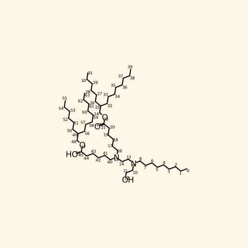 CCCCCCCCCN(CCO)CCN(CCCCCC(=O)OCC(CCCCCC)CCCCCCCC)CCCCCC(O)OCC(CCCCCC)CCCCCCCC